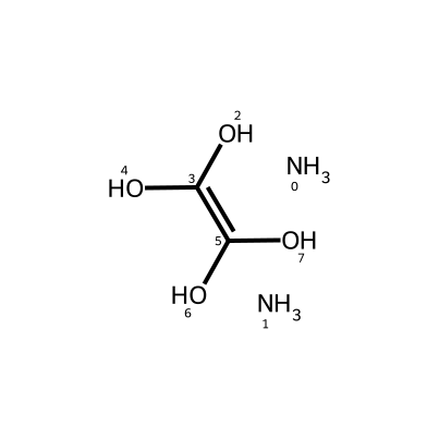 N.N.OC(O)=C(O)O